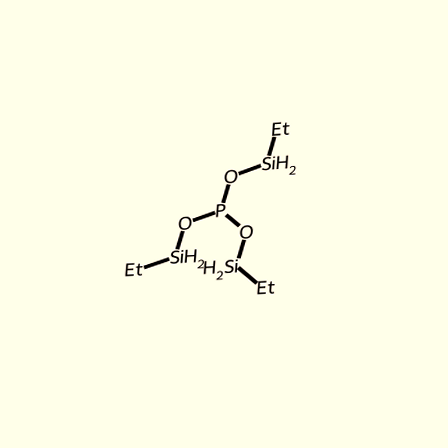 CC[SiH2]OP(O[SiH2]CC)O[SiH2]CC